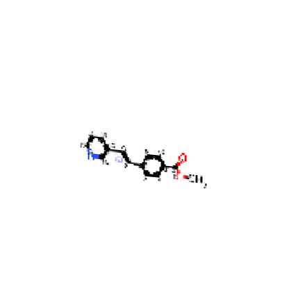 COC(=O)c1ccc(/C=C/c2cccnc2)cc1